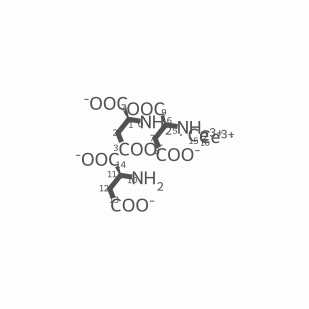 N[C@@H](CC(=O)[O-])C(=O)[O-].N[C@@H](CC(=O)[O-])C(=O)[O-].N[C@@H](CC(=O)[O-])C(=O)[O-].[Ce+3].[Ce+3]